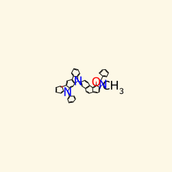 CN1c2ccc3ccc4cc(-n5c6ccccc6c6cc7c8ccccc8n(-c8ccccc8)c7cc65)ccc4c3c2OC1c1ccccc1